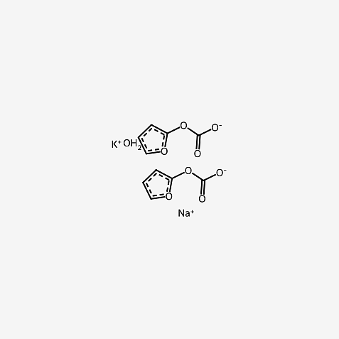 O.O=C([O-])Oc1ccco1.O=C([O-])Oc1ccco1.[K+].[Na+]